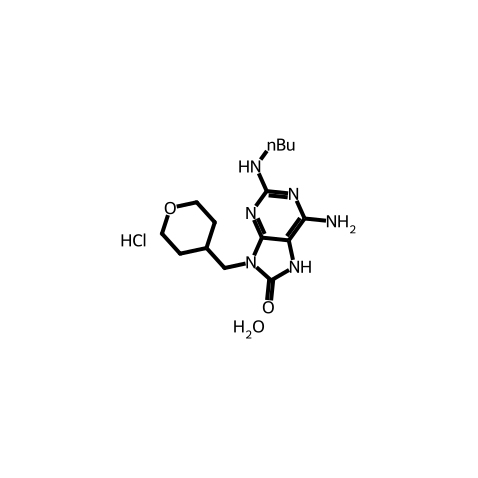 CCCCNc1nc(N)c2[nH]c(=O)n(CC3CCOCC3)c2n1.Cl.O